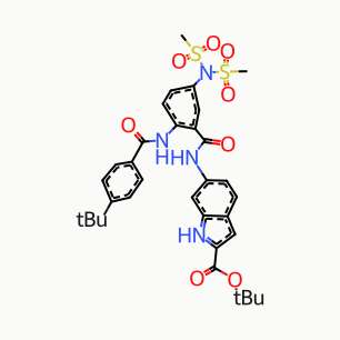 CC(C)(C)OC(=O)c1cc2ccc(NC(=O)c3cc(N(S(C)(=O)=O)S(C)(=O)=O)ccc3NC(=O)c3ccc(C(C)(C)C)cc3)cc2[nH]1